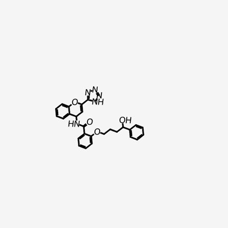 O=C(NC1C=C(c2nnn[nH]2)Oc2ccccc21)c1ccccc1OCCCC(O)c1ccccc1